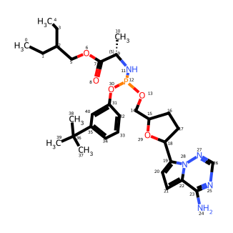 CCC(CC)COC(=O)[C@H](C)NP(OCC1CCC(c2ccc3c(N)ncnn23)O1)Oc1cccc(C(C)(C)C)c1